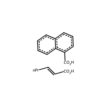 CCCC=CC(=O)O.O=C(O)c1cccc2ccccc12